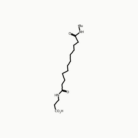 CC(C)(C)NC(=O)CCCCCCCCCCC(=O)NCCC(=O)O